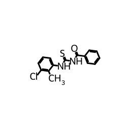 Cc1c(Cl)cccc1NC(=S)NC(=O)c1ccccc1